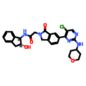 O=C(CN1Cc2ccc(-c3nc(NC4CCOCC4)ncc3Cl)cc2C1=O)N[C@@H]1c2ccccc2C[C@H]1O